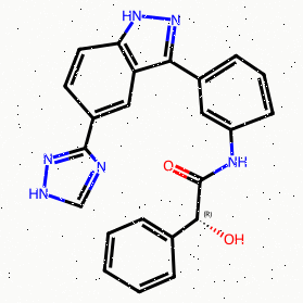 O=C(Nc1cccc(-c2n[nH]c3ccc(-c4nc[nH]n4)cc23)c1)[C@H](O)c1ccccc1